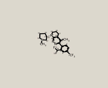 Cc1c(-c2ccc(C(F)(F)F)cc2C(F)F)nnc2c1CCCN2[C@H]1CCCN(C)C1